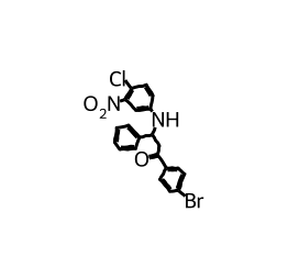 O=C(CC(Nc1ccc(Cl)c([N+](=O)[O-])c1)c1ccccc1)c1ccc(Br)cc1